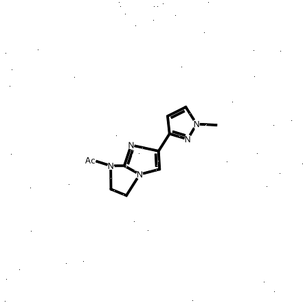 CC(=O)N1CCn2cc(-c3ccn(C)n3)nc21